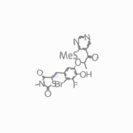 CSc1ncncc1C(=O)C(C)Oc1cc(/C=C2\SC(=O)N(C)C2=O)c(Br)c(F)c1O